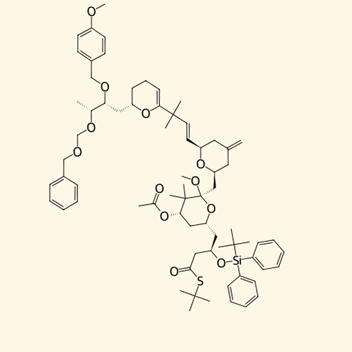 C=C1C[C@@H](C[C@]2(OC)O[C@H](C[C@H](CC(=O)SC(C)(C)C)O[Si](c3ccccc3)(c3ccccc3)C(C)(C)C)C[C@H](OC(C)=O)C2(C)C)O[C@@H](/C=C/C(C)(C)C2=CCC[C@@H](C[C@@H](OCc3ccc(OC)cc3)[C@@H](C)OCOCc3ccccc3)O2)C1